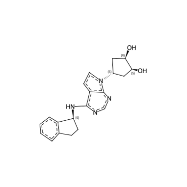 O[C@@H]1C[C@@H](n2ccc3c(N[C@H]4CCc5ccccc54)ncnc32)C[C@@H]1O